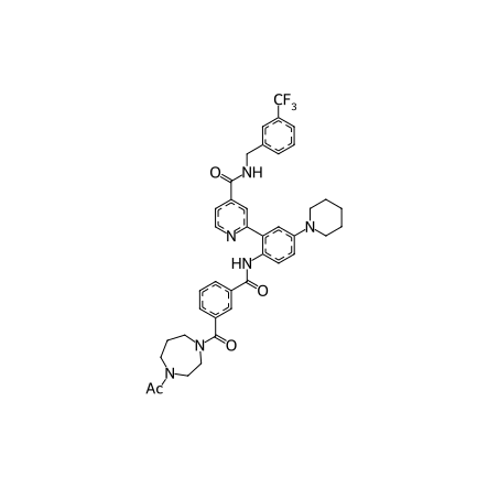 CC(=O)N1CCCN(C(=O)c2cccc(C(=O)Nc3ccc(N4CCCCC4)cc3-c3cc(C(=O)NCc4cccc(C(F)(F)F)c4)ccn3)c2)CC1